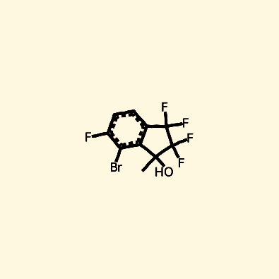 CC1(O)c2c(ccc(F)c2Br)C(F)(F)C1(F)F